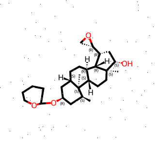 C[C@H]1C[C@@H](OC2CCCCO2)C[C@@H]2CC[C@H]3[C@@H]4[C@H]([C@@H]5CO5)C[C@H](O)[C@@]4(C)CC[C@@H]3[C@]21C